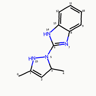 CC1=CC(C)N(c2nc3ccccc3[nH]2)N1